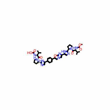 COC(=O)N[C@H](C(=O)N1CCCC1c1ncc(-c2cn3cc(-c4ccc(-c5cnc([C@@H]6CCCN6C(=O)[C@@H](NC(=O)O)C(C)C)[nH]5)cc4)oc3n2)[nH]1)C(C)C